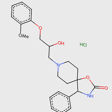 COc1ccccc1OCC(O)CN1CCC2(CC1)OC(=O)NC2c1ccccc1.Cl